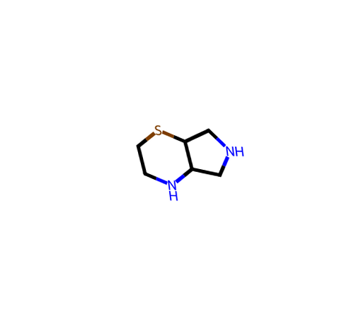 C1CSC2CNCC2N1